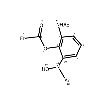 CCC(=O)Oc1c(NC(C)=O)cccc1N(O)C(C)=O